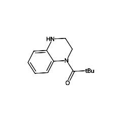 CC(C)(C)C(=O)N1CCNc2ccccc21